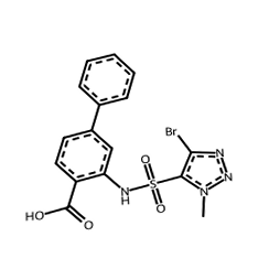 Cn1nnc(Br)c1S(=O)(=O)Nc1cc(-c2ccccc2)ccc1C(=O)O